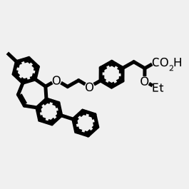 CCOC(Cc1ccc(OCCOC2c3ccc(C)cc3C=Cc3ccc(-c4ccccc4)cc32)cc1)C(=O)O